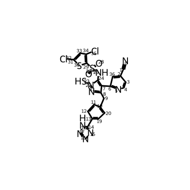 N#Cc1ccnc(-c2c(Cc3ccc(-c4nnn[nH]4)cc3)nn(S)c2NS(=O)(=O)c2sc(Cl)cc2Cl)c1